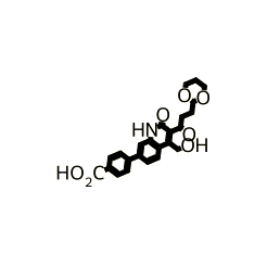 O=C(O)c1ccc(-c2ccc3c(CO)c(C(=O)CCC4OCCCO4)c(=O)[nH]c3c2)cc1